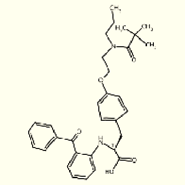 CCCN(CCOc1ccc(C[C@H](Nc2ccccc2C(=O)c2ccccc2)C(=O)O)cc1)C(=O)C(C)(C)C